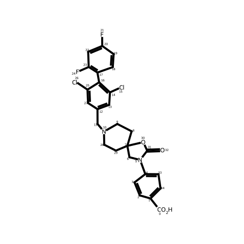 O=C(O)c1ccc(N2CC3(CCN(Cc4cc(Cl)c(-c5ccc(F)cc5F)c(Cl)c4)CC3)OC2=O)cc1